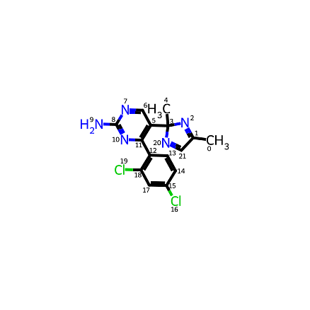 CC1=NC(C)(c2cnc(N)nc2-c2ccc(Cl)cc2Cl)N=C1